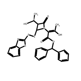 C/C(O)=C(/C(=O)OC(c1ccccc1)c1ccccc1)N1C(=O)C([C@H](C)O)C1SSc1nc2ccccc2s1